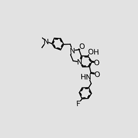 CN(C)c1ccc(CN2CCn3cc(C(=O)NCc4ccc(F)cc4)c(=O)c(O)c3C2=O)cc1